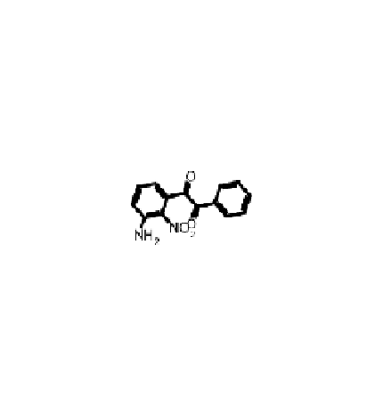 Nc1cccc(C(=O)C(=O)c2ccccc2)c1[N+](=O)[O-]